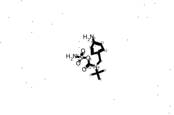 CC(C)(C)N(Cc1ccc(N)cc1)C(=O)OS(N)(=O)=O